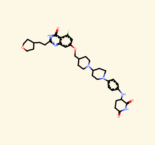 O=C1CCC(Nc2ccc(N3CCC(N4CCC(COc5cc(F)c6c(=O)[nH]c(CCC7CCOCC7)nc6c5)CC4)CC3)cc2)C(=O)N1